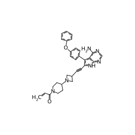 C=CC(=O)N1CCC(N2CC(C#Cc3[nH]c4ncnc(N)c4c3-c3ccc(Oc4ccccc4)cc3)C2)CC1